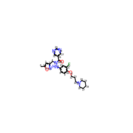 Cc1cc(CN(Nc2ccc(OCCCN3CCCCC3)c(F)c2)C(=O)c2cncnc2)no1